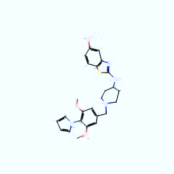 CCOc1cc(CN2CCC(Nc3nc4cc(OC(=O)O)ccc4s3)CC2)cc(OCC)c1-n1cccc1